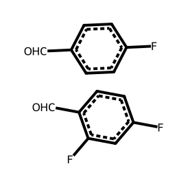 O=Cc1ccc(F)cc1.O=Cc1ccc(F)cc1F